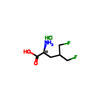 Cl.N[C@@H](CC(CF)CF)C(=O)O